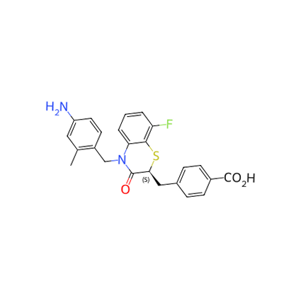 Cc1cc(N)ccc1CN1C(=O)[C@H](Cc2ccc(C(=O)O)cc2)Sc2c(F)cccc21